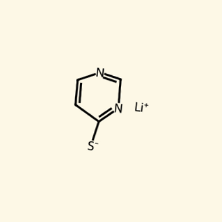 [Li+].[S-]c1ccncn1